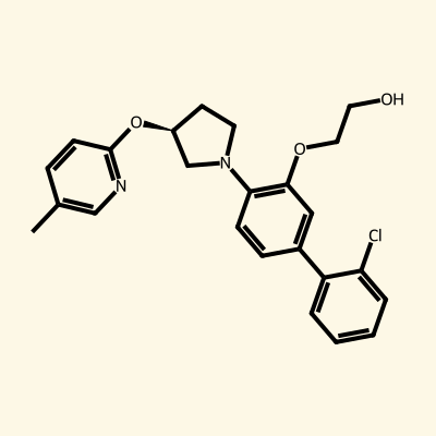 Cc1ccc(O[C@H]2CCN(c3ccc(-c4ccccc4Cl)cc3OCCO)C2)nc1